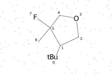 CC(C)(C)C1COCC1(C)F